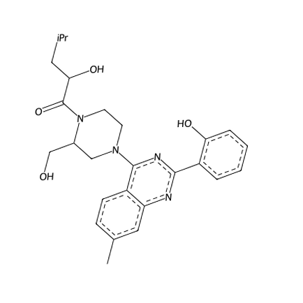 Cc1ccc2c(N3CCN(C(=O)C(O)CC(C)C)C(CO)C3)nc(-c3ccccc3O)nc2c1